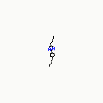 C=CCCCc1cnc(-c2ccc(CCCCC)cc2)nc1